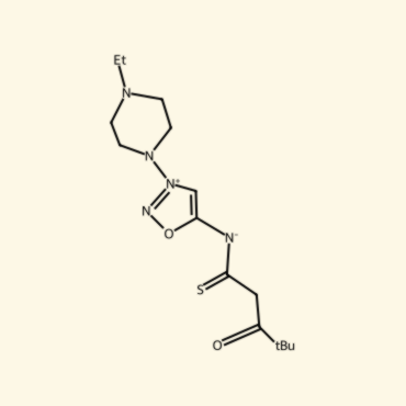 CCN1CCN([n+]2cc([N-]C(=S)CC(=O)C(C)(C)C)on2)CC1